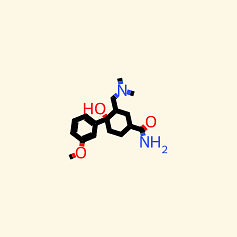 COc1cccc(C2(O)CCC(C(N)=O)CC2CN(C)C)c1